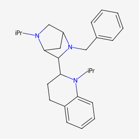 CC(C)N1CC2CC1C(C1CCc3ccccc3N1C(C)C)N2Cc1ccccc1